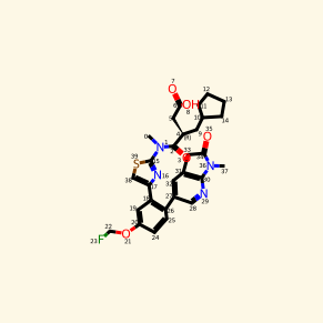 CN(C(=O)[C@@H](CC(=O)O)CC1CCCC1)c1nc(-c2cc(OCF)ccc2-c2cnc3c(c2)CC(=O)N3C)cs1